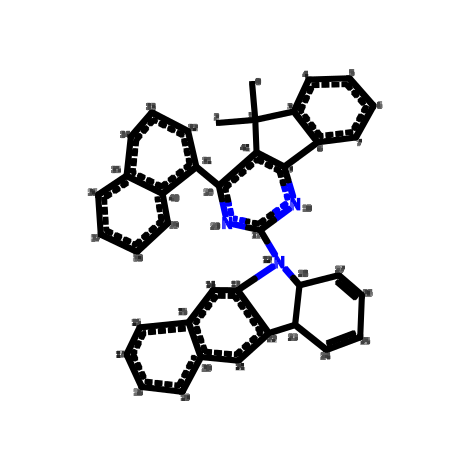 CC1(C)c2ccccc2-c2nc(N3c4cc5ccccc5cc4C4C=CC=CC43)nc(-c3cccc4ccccc34)c21